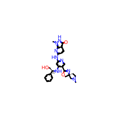 CN1CC[C@@]2(COC(c3cnc(Nc4ccc5c(=O)[nH]n(C)c5n4)cc3N[C@H](CO)c3ccccc3)=N2)C1